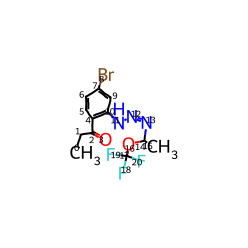 CCC(=O)c1ccc(Br)cc1N/N=N\C(C)OC(F)(F)F